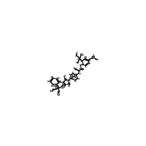 COc1ccc(CNC(=O)CC23CCC(c4nnc(-c5ccccc5C(F)(F)F)n4C)(CC2)CC3)c(C(F)(F)F)c1